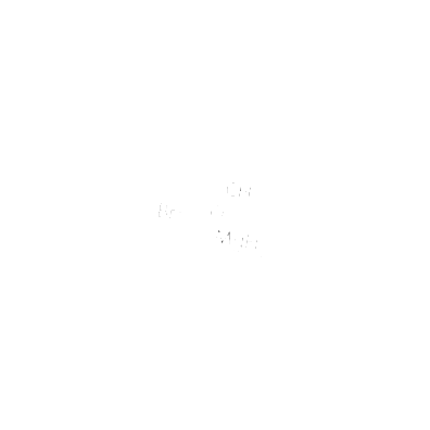 COBr.[MgH2]